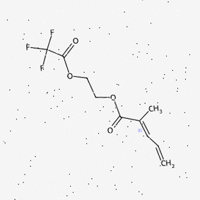 C=C/C=C(\C)C(=O)OCCOC(=O)C(F)(F)F